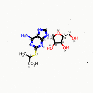 CC(Sc1nc(N)c2ncn([C@@H]3O[C@H](CO)C(O)C3O)c2n1)C(=O)O